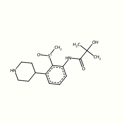 C[S+]([O-])c1c(NC(=O)C(C)(C)O)cccc1C1CCNCC1